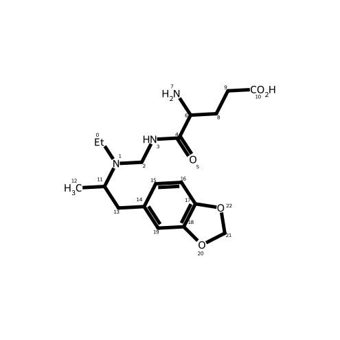 CCN(CNC(=O)C(N)CCC(=O)O)C(C)Cc1ccc2c(c1)OCO2